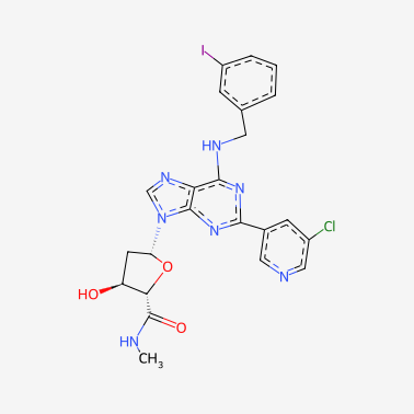 CNC(=O)[C@H]1O[C@@H](n2cnc3c(NCc4cccc(I)c4)nc(-c4cncc(Cl)c4)nc32)C[C@@H]1O